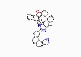 C\C1=C(c2ccccc2-c2ccccc2)/N=C(c2ccc3ccc4ccc5ccncc5c4c3c2)\N=C(\c2cc3ccccc3c3oc4ccccc4c23)CC1